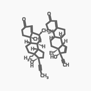 C#C[C@]1(O)C=C[C@H]2[C@@H]3CCC4=CC(=O)CC[C@@H]4[C@H]3CC[C@@]21CC.CC#C[C@]1(O)CC[C@H]2[C@@H]3C[C@H](C)C4=CC(=O)CC[C@]4(C)[C@H]3CC[C@@]21C